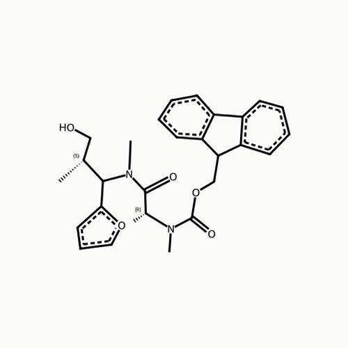 C[C@H](CO)C(c1ccco1)N(C)C(=O)[C@@H](C)N(C)C(=O)OCC1c2ccccc2-c2ccccc21